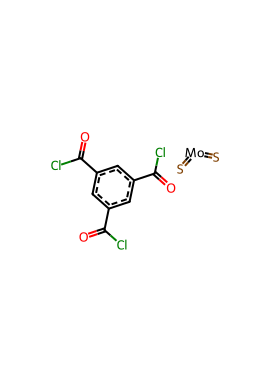 O=C(Cl)c1cc(C(=O)Cl)cc(C(=O)Cl)c1.[S]=[Mo]=[S]